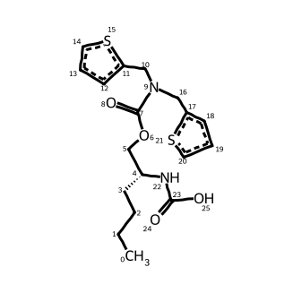 CCCC[C@H](COC(=O)N(Cc1cccs1)Cc1cccs1)NC(=O)O